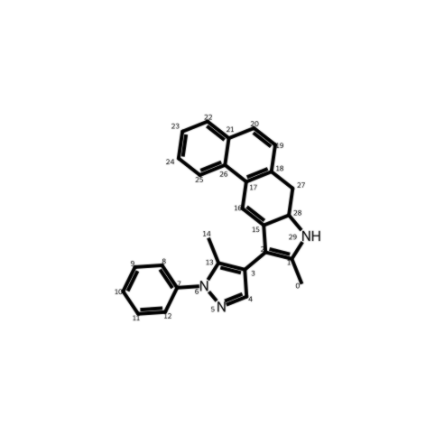 CC1=C(c2cnn(-c3ccccc3)c2C)C2=Cc3c(ccc4ccccc34)CC2N1